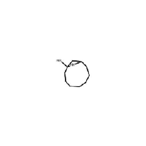 OC12CCCCCCCC(C1)N2